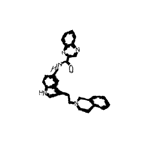 O=C(Nc1ccc2[nH]cc(CCN3CCc4ccccc4C3)c2c1)c1cnc2ccccc2n1